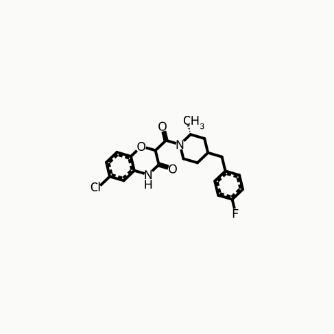 C[C@@H]1CC(Cc2ccc(F)cc2)CCN1C(=O)C1Oc2ccc(Cl)cc2NC1=O